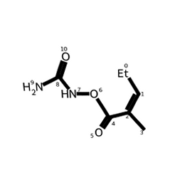 CCC=C(C)C(=O)ONC(N)=O